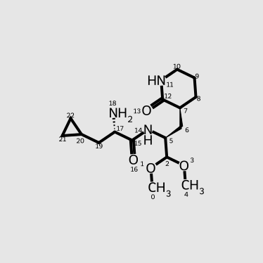 COC(OC)[C@H](C[C@@H]1CCCNC1=O)NC(=O)[C@@H](N)CC1CC1